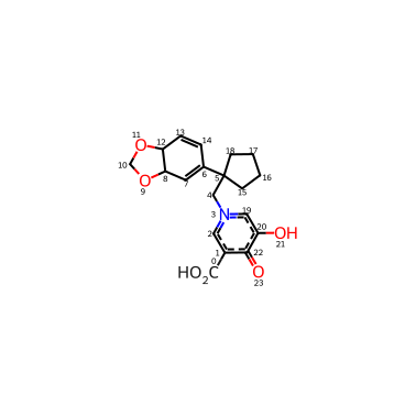 O=C(O)c1cn(CC2(C3=CC4OCOC4C=C3)CCCC2)cc(O)c1=O